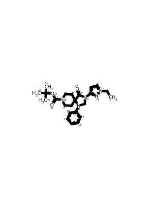 CCn1ccc(N2CN(c3ccccc3)C3(CCN(C(=O)OC(C)(C)C)CC3)C2=O)n1